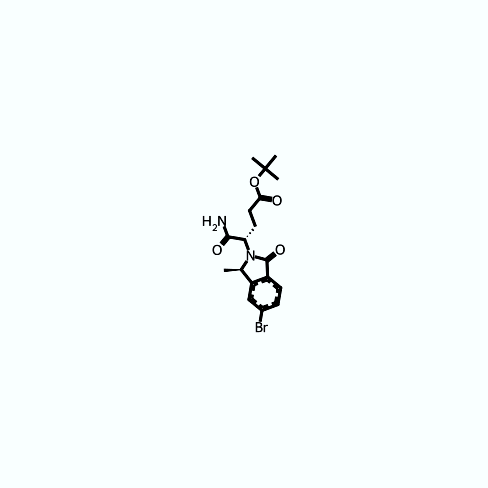 C[C@@H]1c2cc(Br)ccc2C(=O)N1[C@@H](CCC(=O)OC(C)(C)C)C(N)=O